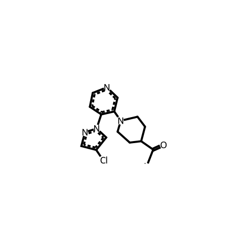 [CH2]C(=O)C1CCN(c2cnccc2-n2cc(Cl)cn2)CC1